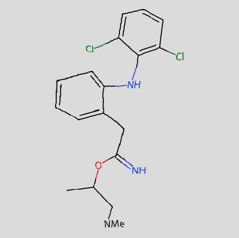 CNCC(C)OC(=N)Cc1ccccc1Nc1c(Cl)cccc1Cl